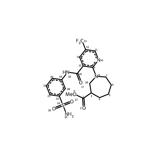 COC(=O)C1CCCCN(c2ncc(C(F)(F)F)cc2C(=O)Nc2cccc(S(N)(=O)=O)c2)C1